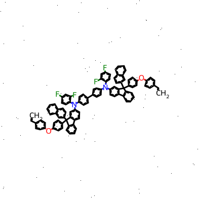 C=Cc1ccc(Oc2ccc(C3(c4ccc5ccccc5c4)c4ccccc4-c4ccc(N(c5ccc(-c6ccc(N(c7ccc8c(c7)C(c7ccc(Oc9ccc(C=C)cc9)cc7)(c7ccc9ccccc9c7)c7ccccc7-8)c7ccc(F)cc7F)cc6)cc5)c5ccc(F)cc5F)cc43)cc2)cc1